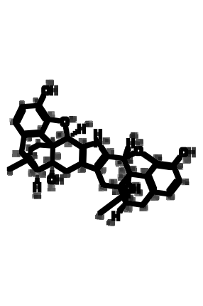 CN1CCC23c4c5ccc(O)c4O[C@H]2c2[nH]c4c(c2C[C@@]3(O)[C@H]1C5)C[C@@]1(O)[C@H]2Cc3ccc(O)c5c3[C@@]1(CCN2C)[C@H]4O5